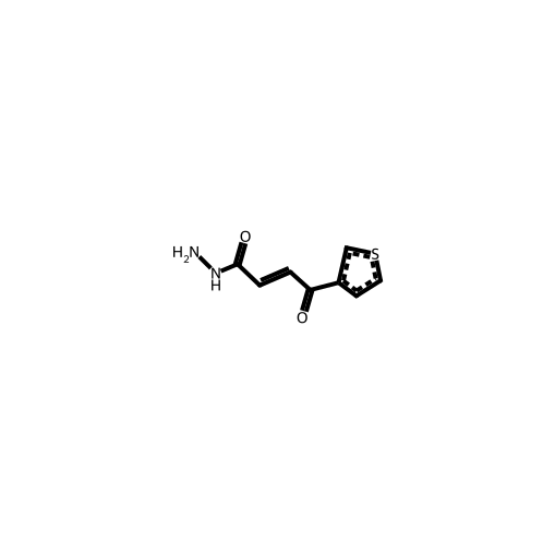 NNC(=O)C=CC(=O)c1ccsc1